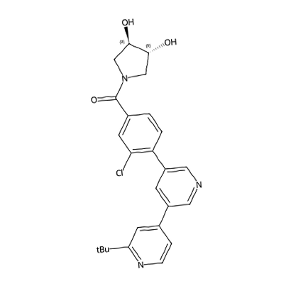 CC(C)(C)c1cc(-c2cncc(-c3ccc(C(=O)N4C[C@@H](O)[C@H](O)C4)cc3Cl)c2)ccn1